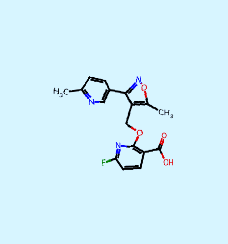 Cc1ccc(-c2noc(C)c2COc2nc(F)ccc2C(=O)O)cn1